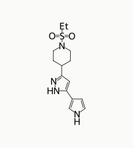 CCS(=O)(=O)N1CCC(c2cc(-c3cc[nH]c3)[nH]n2)CC1